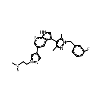 Cc1nn(Cc2cccc(F)c2)c(C)c1-c1c[nH]c2ncc(-c3cnn(CCN(C)C)c3)cc12